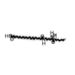 C=CCCCCNC(=O)[C@@H](N)CCCCNC(=O)CCCCCCCCCCCCCCCCCCC(=O)O